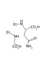 CCNC(CC(N)=O)C(=O)O.CCNCC(=O)O